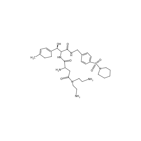 CC1=CC=C([C@@H](O)C(NC(=O)C(N)CC(=O)N(CCN)CCN)C(=O)NCc2ccc(S(=O)(=O)N3CCCCC3)cc2)CC1